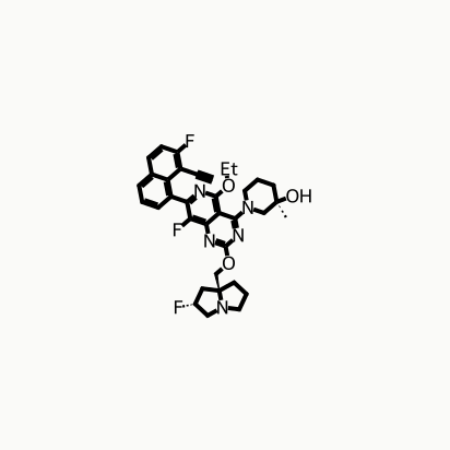 C#Cc1c(F)ccc2cccc(-c3nc(OCC)c4c(N5CCC[C@@](C)(O)C5)nc(OC[C@@]56CCCN5C[C@H](F)C6)nc4c3F)c12